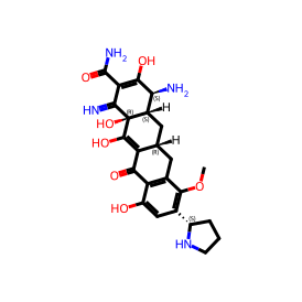 COc1c([C@@H]2CCCN2)cc(O)c2c1C[C@H]1C[C@H]3[C@H](N)C(O)=C(C(N)=O)C(=N)[C@@]3(O)C(O)=C1C2=O